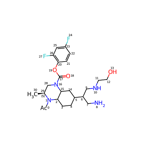 CC(=O)N1C2CCC(C(CN)CNCCO)CC2N(C(=O)Oc2ccc(F)cc2F)C[C@@H]1C